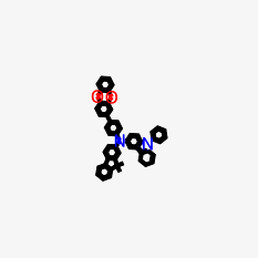 CC1(C)c2ccccc2-c2ccc(N(c3ccc(-c4ccc5c(c4)Oc4ccccc4O5)cc3)c3ccc4c(c3)c3c(n4-c4ccccc4)C=CCC3)cc21